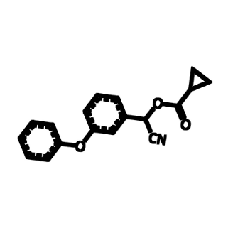 N#CC(OC(=O)C1CC1)c1cccc(Oc2ccccc2)c1